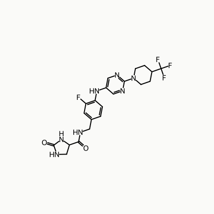 O=C1NCC(C(=O)NCc2ccc(Nc3cnc(N4CCC(C(F)(F)F)CC4)nc3)c(F)c2)N1